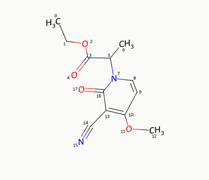 CCOC(=O)C(C)n1ccc(OC)c(C#N)c1=O